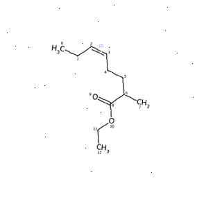 CC/C=C\CCC(C)C(=O)OCC